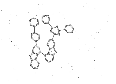 c1ccc(-c2ccc(-c3cc(-c4cccc5sc6cc(-c7nc(-c8ccccc8)nc(-c8ccccc8)n7)ccc6c45)c4c(c3)sc3ccccc34)cc2)cc1